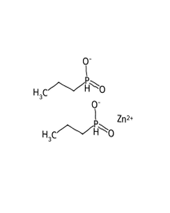 CCC[PH](=O)[O-].CCC[PH](=O)[O-].[Zn+2]